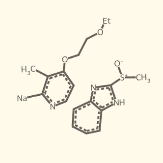 CCOCCOc1ccn[c]([Na])c1C.C[S+]([O-])c1nc2ccccc2[nH]1